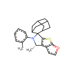 Cc1ccccc1N1[C@@H](C)c2c(sc3occc23)C12C1CC3CC(C1)CC2C3